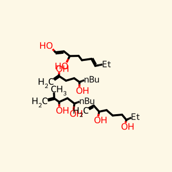 C=C(C)C(O)CC(O)CCCC.C=C(O)CCC(O)CCCC.C=CC(O)CCCC(O)CC.CCC=CCCC(O)C=CO